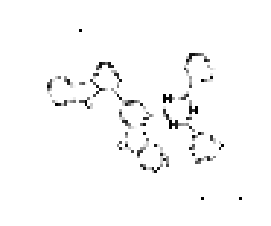 c1ccc(-c2nc(-c3ccccc3)nc(-c3cc(-c4cccc5c4oc4ccccc45)cc4oc5ccncc5c34)n2)cc1